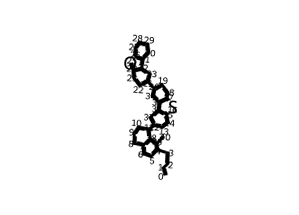 C=C/C=C\c1ccc2cccc(-c3ccc4sc5ccc(-c6ccc7oc8ccccc8c7c6)cc5c4c3)c2c1C